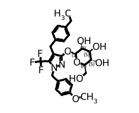 CCc1ccc(Cc2c(O[C@@H]3O[C@H](CO)[C@@H](O)[C@H](O)[C@H]3O)nn(Cc3ccc(OC)cc3)c2C(F)(F)F)cc1